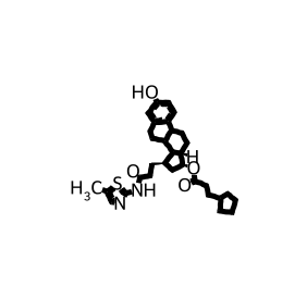 Cc1cnc(NC(=O)CC[C@@H]2C[C@H](OC(=O)CCC3CCCC3)[C@H]3CCC4c5ccc(O)cc5CCC4C23)s1